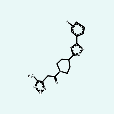 Cc1nonc1CC(=O)N1CCC(c2nc(-c3cccc(F)c3)no2)CC1